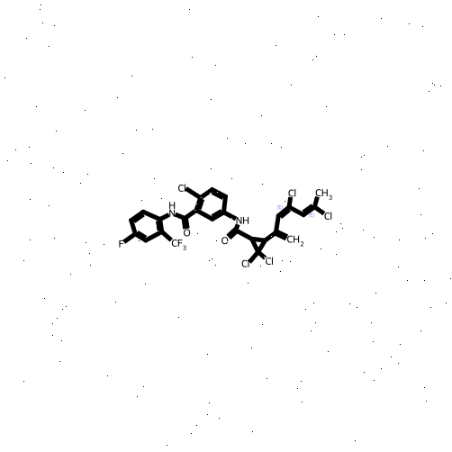 C=C(/C=C(Cl)\C=C(/C)Cl)C1C(C(=O)Nc2ccc(Cl)c(C(=O)Nc3ccc(F)cc3C(F)(F)F)c2)C1(Cl)Cl